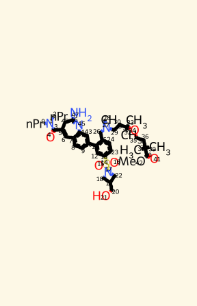 CCCN(CCC)C(=O)C1=Cc2ccc(-c3cc(S(=O)(=O)N4CC(CO)C4)ccc3CN(C)CCC(C)(C)OCCC(C)(C)C(=O)OC)cc2N=C(N)C1